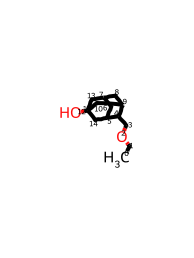 CCOCC1C2CC3CC1CC(O)(C3)C2